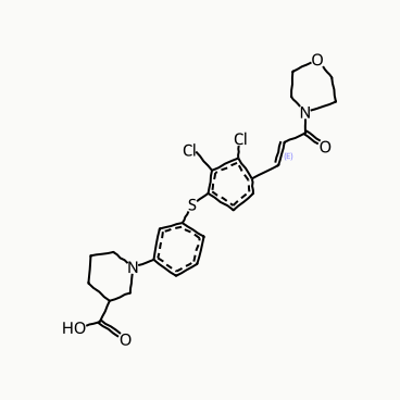 O=C(O)C1CCCN(c2cccc(Sc3ccc(/C=C/C(=O)N4CCOCC4)c(Cl)c3Cl)c2)C1